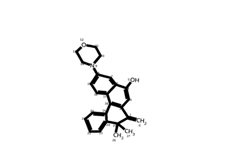 C=C1c2cc(O)c3cc(N4CCOCC4)ccc3c2-c2ccccc2C1(C)C